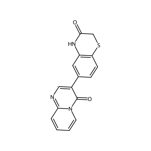 O=C1CSc2ccc(-c3[c]nc4ccccn4c3=O)cc2N1